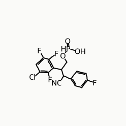 N#CC(c1ccc(F)cc1)C(CO[PH](=O)O)c1c(F)c(F)cc(Cl)c1F